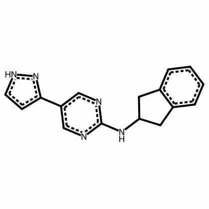 c1ccc2c(c1)CC(Nc1ncc(-c3cc[nH]n3)cn1)C2